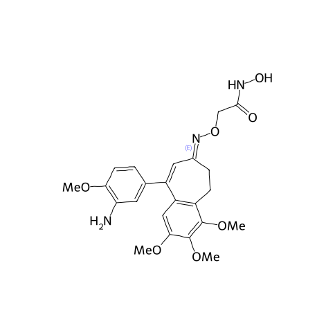 COc1ccc(C2=C/C(=N/OCC(=O)NO)CCc3c2cc(OC)c(OC)c3OC)cc1N